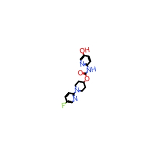 O=C(Nc1ccc(O)cn1)OC1CCN(c2ccc(F)cn2)CC1